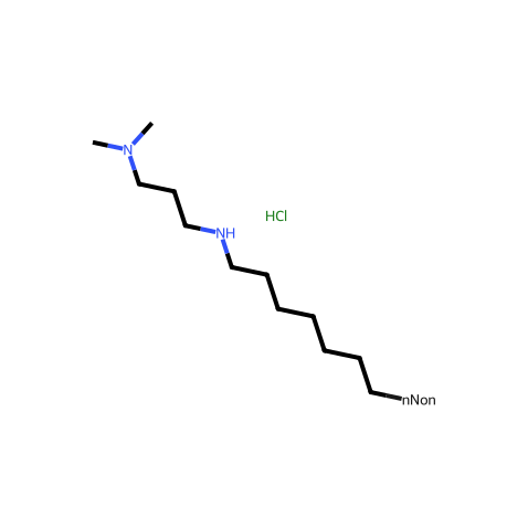 CCCCCCCCCCCCCCCCNCCCN(C)C.Cl